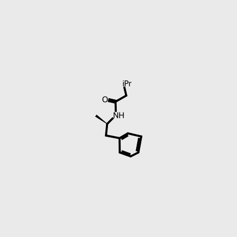 CC(C)CC(=O)N[C@H](C)Cc1ccccc1